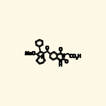 COc1c(-c2ccccc2)c(C(=O)c2ccc3[nH]c(=O)n(CC(=O)O)c(=O)c3c2)n2ccccc12